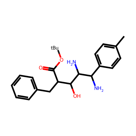 Cc1ccc(C(N)C(N)C(O)C(Cc2ccccc2)C(=O)OC(C)(C)C)cc1